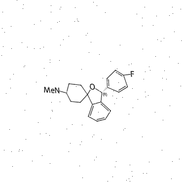 CNC1CCC2(CC1)O[C@H](c1ccc(F)cc1)c1ccccc12